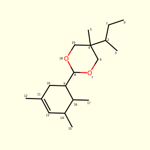 CCC(C)C1(C)COC(C2CC(C)=CC(C)C2C)OC1